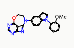 COc1ccccc1-n1ccc2cc(N3CCOc4ncnc5c4C3=N5)ccc21